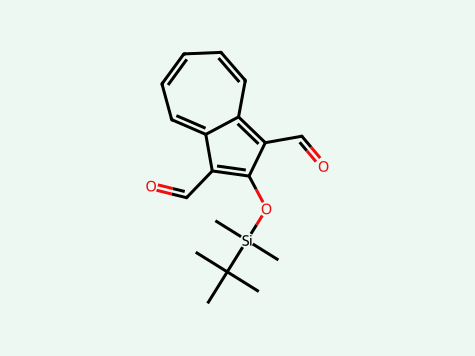 CC(C)(C)[Si](C)(C)Oc1c(C=O)c2cccccc-2c1C=O